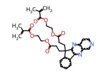 C=C(C)C(=O)OCCOC(=O)CCC1(CCC(=O)OCCOC(=O)C(=C)C)c2ccccc2-c2nc3cnccc3nc21